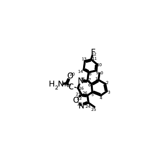 Cc1cccc2c1C(c1ccc(F)cc1)=N[C@@H](CC(N)=O)c1onc(C)c1-2